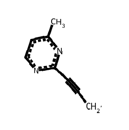 [CH2]C#Cc1nccc(C)n1